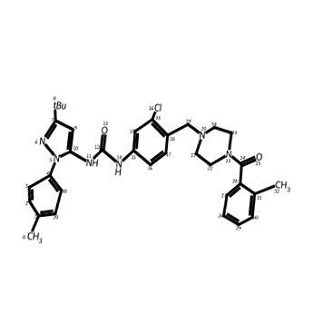 Cc1ccc(-n2nc(C(C)(C)C)cc2NC(=O)Nc2ccc(CN3CCN(C(=O)c4ccccc4C)CC3)c(Cl)c2)cc1